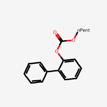 CCCCCOC(=O)Oc1ccccc1-c1ccccc1